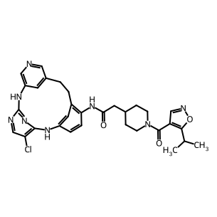 CC(C)c1oncc1C(=O)N1CCC(CC(=O)Nc2ccc3cc2CCc2cncc(c2)Nc2ncc(Cl)c(n2)N3)CC1